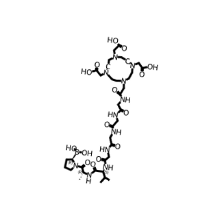 CC(C)[C@H](NC(=O)CNC(=O)CNC(=O)CNC(=O)CNC(=O)CN1CCN(CC(=O)O)CCN(CC(=O)O)CCN(CC(=O)O)CC1)C(=O)N[C@H](C)C(=O)N1CCC[C@H]1B(O)O